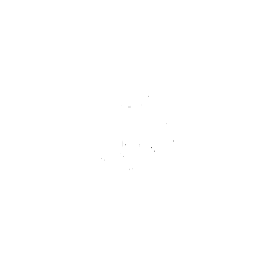 CCN(C(C)=O)c1nsc2cccc(Cl)c12